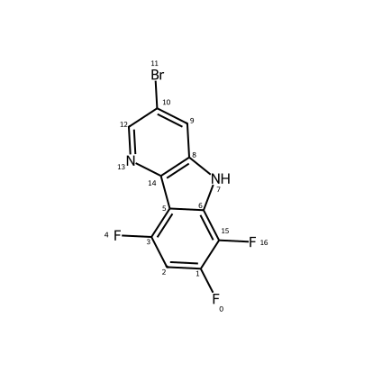 Fc1cc(F)c2c([nH]c3cc(Br)cnc32)c1F